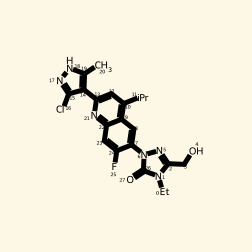 CCn1c(CO)nn(-c2cc3c(C(C)C)cc(-c4c(Cl)n[nH]c4C)nc3cc2F)c1=O